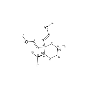 COC=CC1(C=COC)C[C@H](C)CC[C@H]1C(C)C